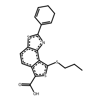 CCCSc1sc(C(=O)O)c2ccc3sc(C4=CCCC=C4)nc3c12